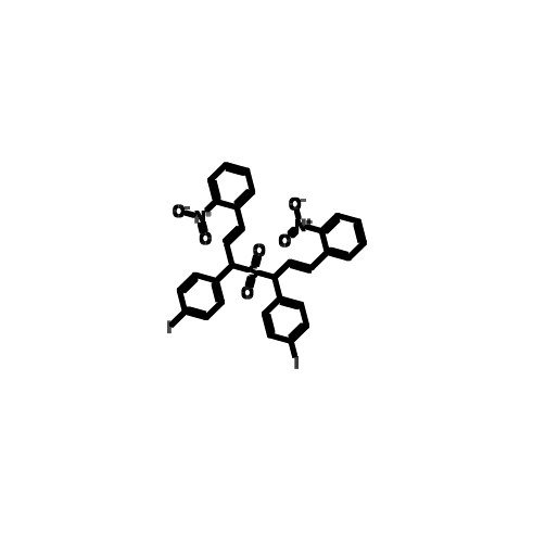 O=[N+]([O-])c1ccccc1C=CC(c1ccc(I)cc1)S(=O)(=O)C(C=Cc1ccccc1[N+](=O)[O-])c1ccc(I)cc1